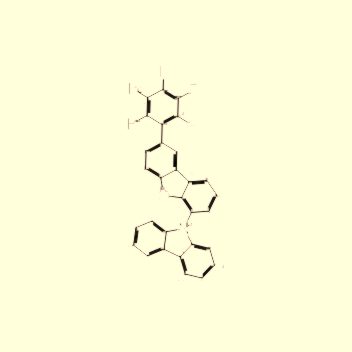 Fc1c(F)c(F)c(-c2ccc3oc4c(-n5c6ccccc6c6ccccc65)cccc4c3c2)c(F)c1F